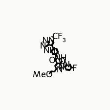 COCCc1cc(C(=O)Nc2ccc(-c3cn(CC(F)(F)F)c4ncnc(N)c34)cc2)c(=O)n(-c2ccc(F)cn2)n1